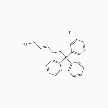 CCC=CCC[P+](c1ccccc1)(c1ccccc1)c1ccccc1.[I-]